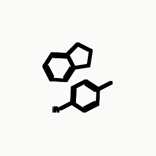 Cc1ccc(C(C)C)cc1.c1ccc2c(c1)CCC2